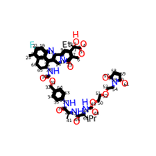 CC[C@@]1(O)C(=O)OCc2c1cc1n(c2=O)Cc2c-1nc1cc(F)c(C)c3c1c2[C@@H](NC(=O)OCc1ccc(NC(=O)[C@H](C)NC(=O)[C@@H](NC(=O)OCCOCCN2C(=O)C=CC2=O)C(C)C)cc1)CC3